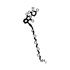 NCCOCCOCCOCCOCCOCC#Cc1cccc2c1C(=O)N(C1CCC(=O)NC1=O)C2=O